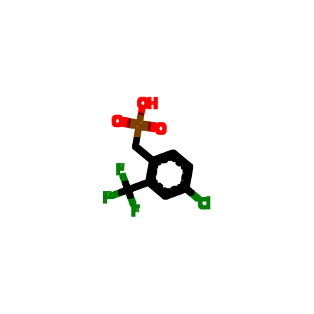 O=S(=O)(O)Cc1ccc(Cl)cc1C(F)(F)F